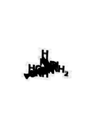 C=C(NC1CCN(c2cnc(C(N)=O)c(Nc3cn[nH]c3)n2)CC1O)c1ccc(C2CC2)cc1